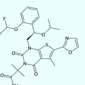 Cc1c(-c2ncco2)sc2c1c(=O)n(C(C)(C)C(=O)O)c(=O)n2C[C@H](OC(C)C)c1ccccc1OC(F)F